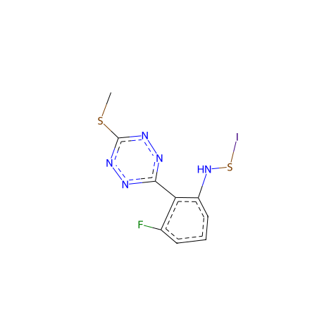 CSc1nnc(-c2c(F)cccc2NSI)nn1